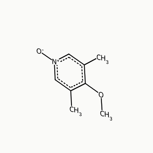 COc1c(C)c[n+]([O-])cc1C